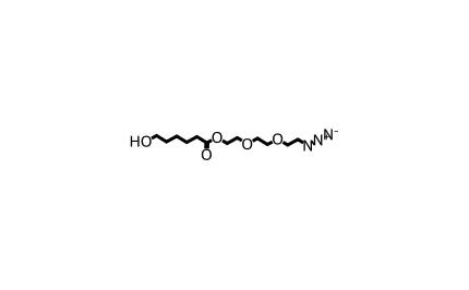 [N-]=[N+]=NCCOCCOCCOC(=O)CCCCCO